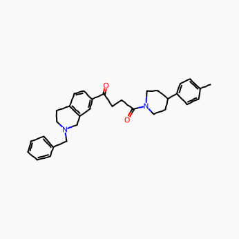 Cc1ccc(C2CCN(C(=O)CCC(=O)c3ccc4c(c3)CN(Cc3ccccc3)CC4)CC2)cc1